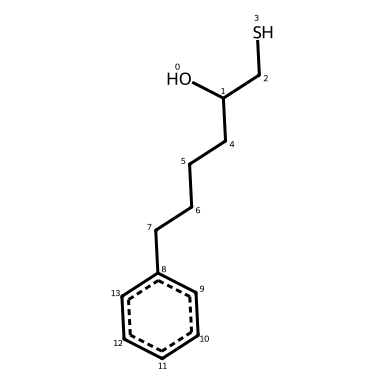 OC(CS)CCCCc1ccccc1